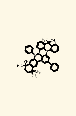 CC1(C)CCC(C)(C)c2cc3c(cc21)-c1cc(-c2ccccc2)cc2c1B(c1cccc4c1N2c1ccccc1C4(C)C)N3c1ccccc1